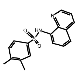 Cc1ccc(S(=O)(=O)Nc2cccc3cccnc23)cc1C